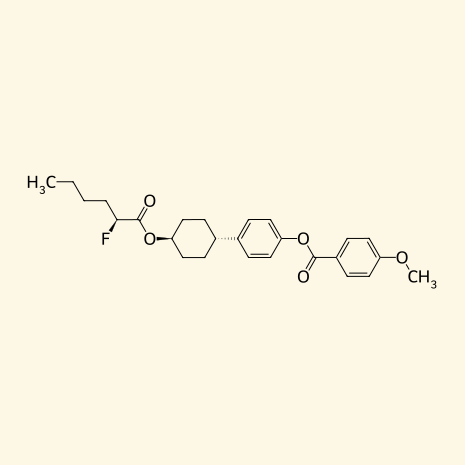 CCCC[C@H](F)C(=O)O[C@H]1CC[C@H](c2ccc(OC(=O)c3ccc(OC)cc3)cc2)CC1